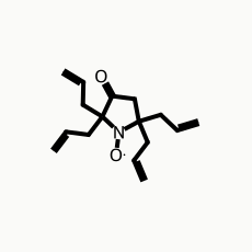 C=CCC1(CC=C)CC(=O)C(CC=C)(CC=C)N1[O]